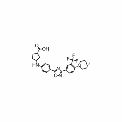 O=C(O)[C@@H]1CC[C@H](Nc2ccc(-c3nc(-c4ccc(N5CCOCC5)c(C(F)(F)F)c4)no3)cc2)C1